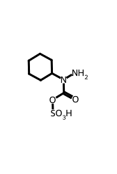 NN(C(=O)OS(=O)(=O)O)C1CCCCC1